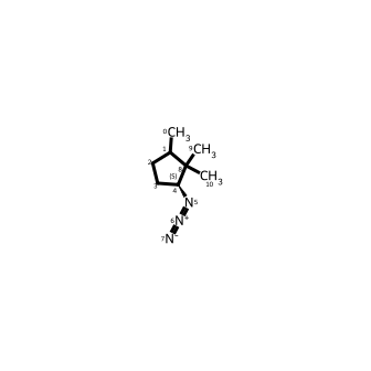 CC1CC[C@H](N=[N+]=[N-])C1(C)C